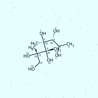 CC(O)[C@@H](O)[C@](C)(O)[C@](C)(O)[C@@](C)(O)CO